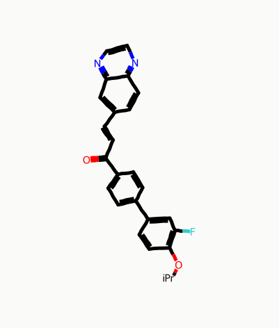 CC(C)Oc1ccc(-c2ccc(C(=O)/C=C/c3ccc4nccnc4c3)cc2)cc1F